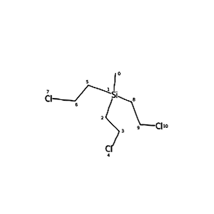 C[Si](CCCl)(CCCl)CCCl